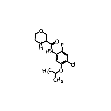 CC(C)Oc1cc(NC(=O)C2COCCN2)c(F)cc1Cl